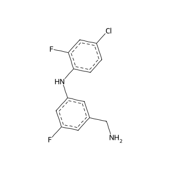 NCc1cc(F)cc(Nc2ccc(Cl)cc2F)c1